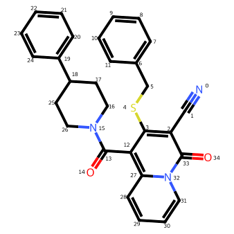 N#Cc1c(SCc2ccccc2)c(C(=O)N2CCC(c3ccccc3)CC2)c2ccccn2c1=O